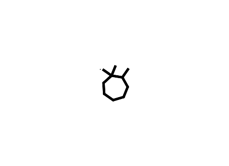 [CH2]C1(C)CCCCCC1C